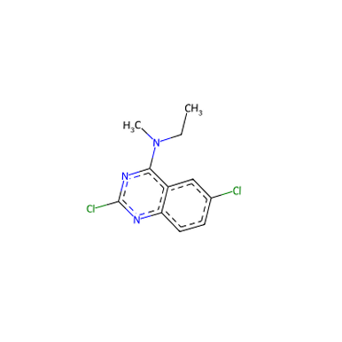 CCN(C)c1nc(Cl)nc2ccc(Cl)cc12